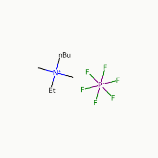 CCCC[N+](C)(C)CC.F[P-](F)(F)(F)(F)F